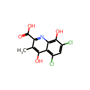 Cc1c(C(=O)O)nc2c(O)c(Cl)cc(Cl)c2c1O